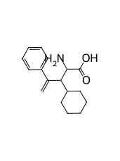 C=C(c1ccccc1)C(C1CCCCC1)C(N)C(=O)O